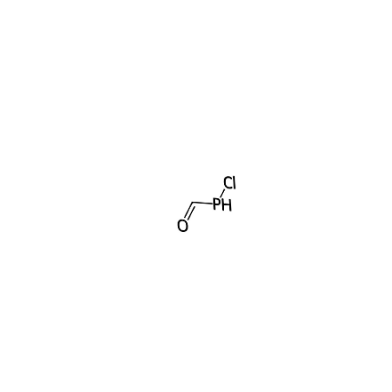 O=CPCl